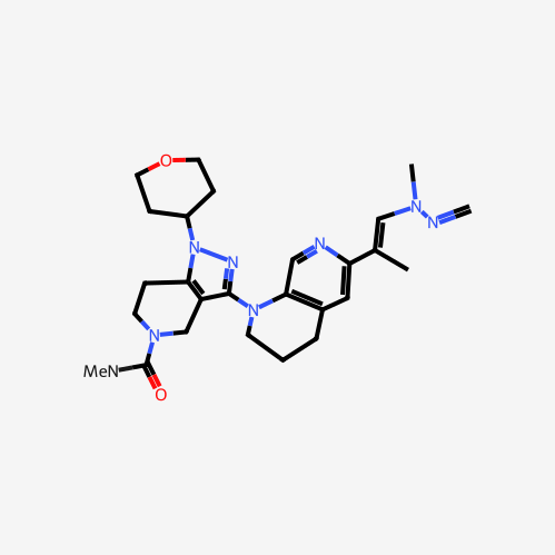 C=NN(C)/C=C(\C)c1cc2c(cn1)N(c1nn(C3CCOCC3)c3c1CN(C(=O)NC)CC3)CCC2